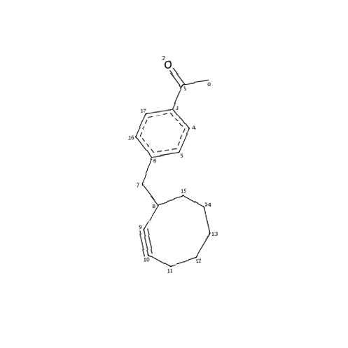 CC(=O)c1ccc(CC2C#CCCCCC2)cc1